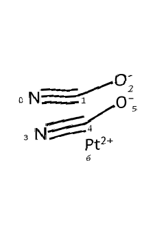 N#C[O-].N#C[O-].[Pt+2]